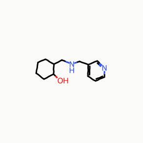 OC1CCCCC1CNCc1cccnc1